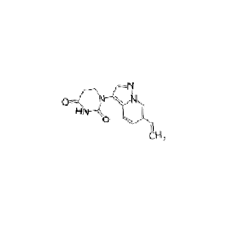 C=Cc1ccc2c(N3CCC(=O)NC3=O)cnn2c1